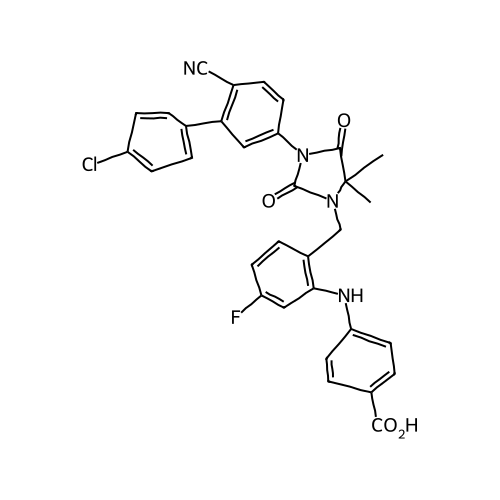 CC1(C)C(=O)N(c2ccc(C#N)c(-c3ccc(Cl)cc3)c2)C(=O)N1Cc1ccc(F)cc1Nc1ccc(C(=O)O)cc1